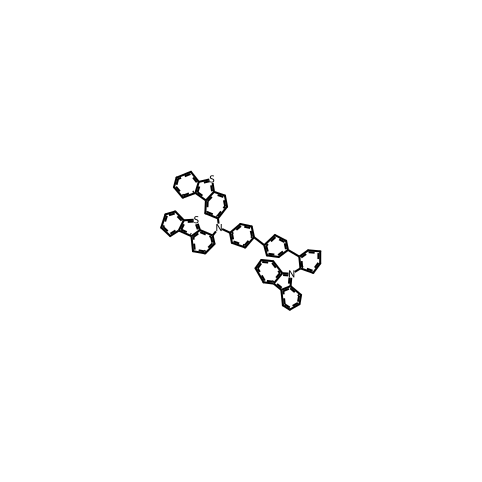 c1ccc(-n2c3ccccc3c3ccccc32)c(-c2ccc(-c3ccc(N(c4ccc5sc6ccccc6c5c4)c4cccc5c4sc4ccccc45)cc3)cc2)c1